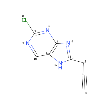 C#CCc1nc2nc(Cl)ncc2[nH]1